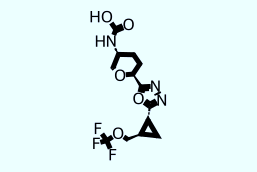 O=C(O)N[C@@H]1CC[C@@H](c2nnc([C@@H]3C[C@H]3COC(F)(F)F)o2)OC1